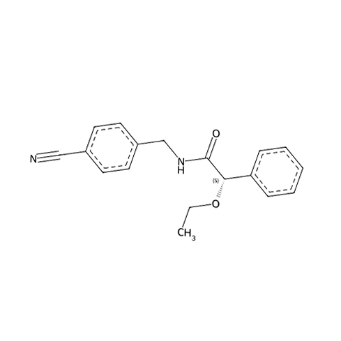 CCO[C@H](C(=O)NCc1ccc(C#N)cc1)c1ccccc1